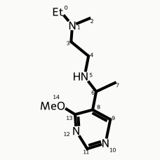 CCN(C)CCNC(C)c1cncnc1OC